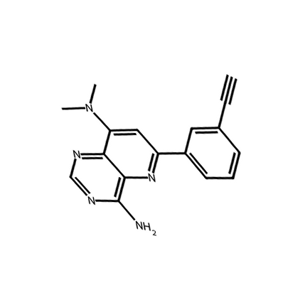 C#Cc1cccc(-c2cc(N(C)C)c3ncnc(N)c3n2)c1